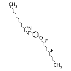 CCCCCCCCCCc1cnc(-c2ccc(OCC(F)CCCC(F)CCCCC)cc2)nc1